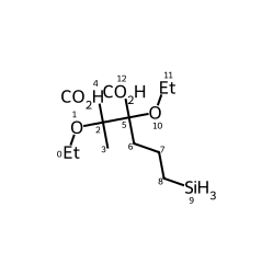 CCOC(C)(C(=O)O)C(CCC[SiH3])(OCC)C(=O)O